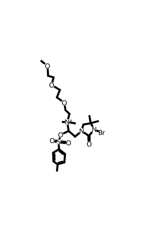 COCCOCCOCC[N+](C)(C)C(CN1CC(C)(C)N(Br)C1=O)OS(=O)(=O)c1ccc(C)cc1